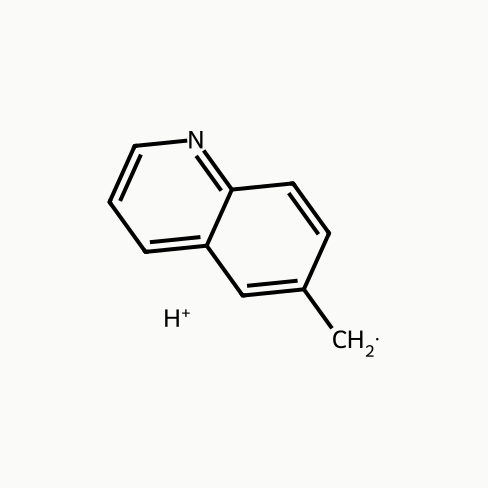 [CH2]c1ccc2ncccc2c1.[H+]